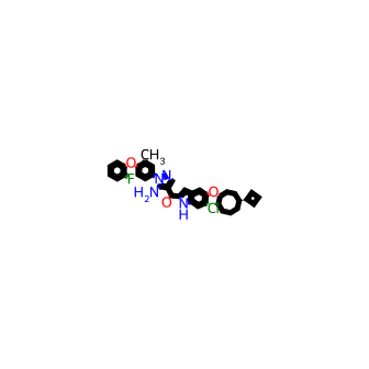 Cc1cc(-n2ncc(C(=O)c3cc4cc(OC5CCCC[C@@H](C6CCC6)CC5)c(Cl)cc4[nH]3)c2N)ccc1Oc1ccccc1F